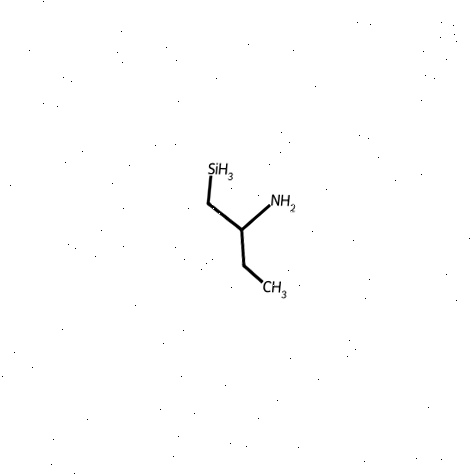 CCC(N)C[SiH3]